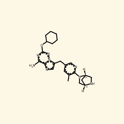 Cc1cc(Cc2cnc3c(N)nc(OC4CCCCC4)nn23)cnc1N1C[C@@H]2C[C@H]1CN2